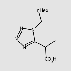 CCCCCCCn1nnnc1C(C)C(=O)O